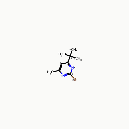 Cc1cc(C(C)(C)C)nc(Br)n1